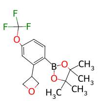 CC1(C)OB(c2ccc(OC(F)(F)F)cc2C2COC2)OC1(C)C